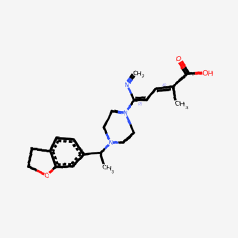 C=N/C(=C\C=C(/C)C(=O)O)N1CCN(C(C)c2ccc3c(c2)OCC3)CC1